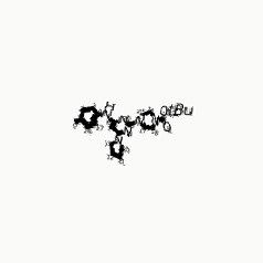 Cc1ccc(Nc2cc(N3CCCC3)nc(N3CCN(C(=O)OC(C)(C)C)CC3)n2)cc1